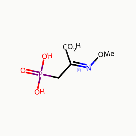 CO/N=C(/CP(=O)(O)O)C(=O)O